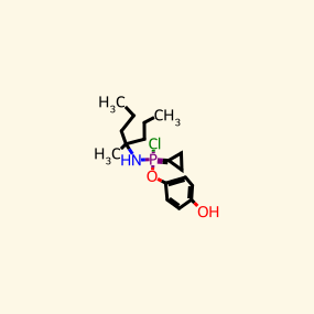 CCCC(C)(CCC)NP(Cl)(Oc1ccc(O)cc1)=C1CC1